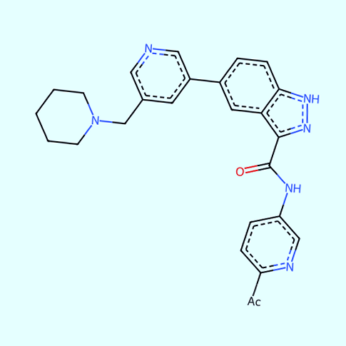 CC(=O)c1ccc(NC(=O)c2n[nH]c3ccc(-c4cncc(CN5CCCCC5)c4)cc23)cn1